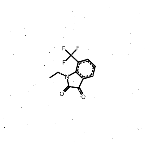 CCN1C(=O)C(=O)c2cccc(C(F)(F)F)c21